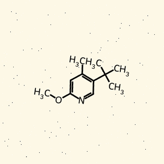 COc1cc(C)c(C(C)(C)C)cn1